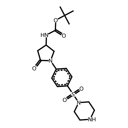 CC(C)(C)OC(=O)NC1CC(=O)N(c2ccc(S(=O)(=O)N3CCNCC3)cc2)C1